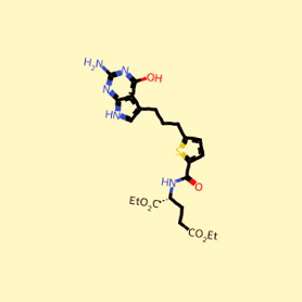 CCOC(=O)CC[C@@H](NC(=O)c1ccc(CCCc2c[nH]c3nc(N)nc(O)c23)s1)C(=O)OCC